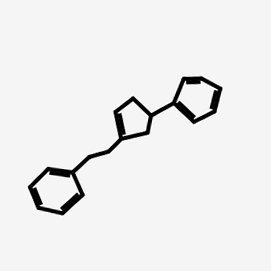 C1=C(CCc2ccccc2)CC(c2ccccc2)C1